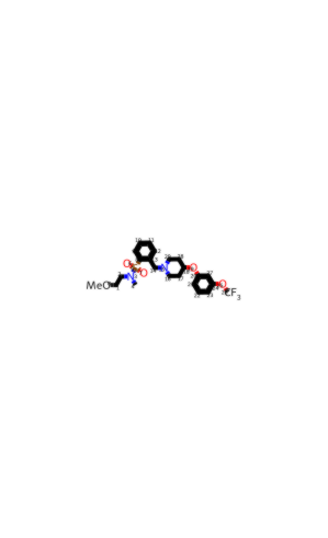 COCCN(C)S(=O)(=O)c1ccccc1CN1CCC(Oc2cccc(OC(F)(F)F)c2)CC1